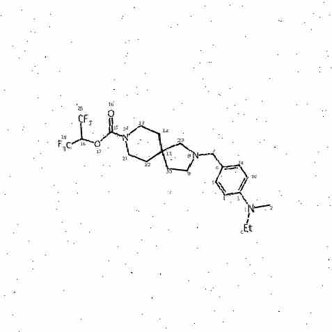 CCN(C)c1ccc(CN2CCC3(CCN(C(=O)OC(C(F)(F)F)C(F)(F)F)CC3)C2)cc1